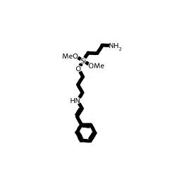 CO[Si](CCCN)(OC)OCCCNC=Cc1ccccc1